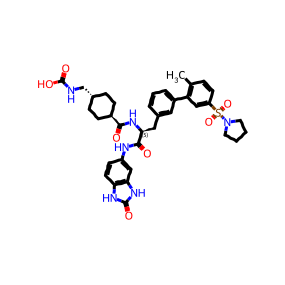 Cc1ccc(S(=O)(=O)N2CCCC2)cc1-c1cccc(C[C@H](NC(=O)[C@H]2CC[C@H](CNC(=O)O)CC2)C(=O)Nc2ccc3[nH]c(=O)[nH]c3c2)c1